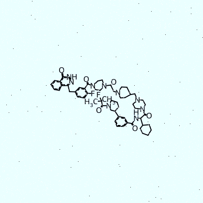 CC(C)(F)C(=O)N1CCCC(c2cccc(C(=O)N[C@@H](C(=O)N3CCN(CC4CCN(CC(=O)N5CCN(C(=O)c6cc(Cc7n[nH]c(=O)c8ccccc78)ccc6F)CC5)CC4)CC3)C3CCCCC3)c2)C1